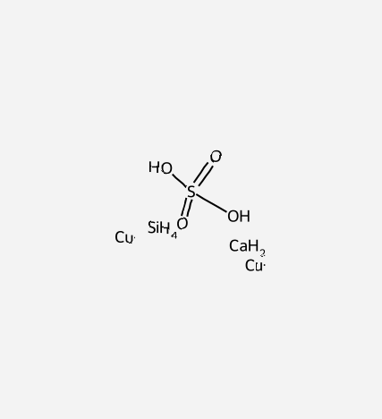 O=S(=O)(O)O.[CaH2].[Cu].[Cu].[SiH4]